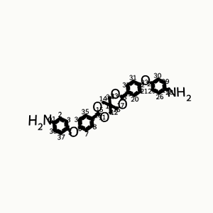 Nc1ccc(Oc2ccc(C3OCC4(CO3)COC(c3ccc(Oc5ccc(N)cc5)cc3)OC4)cc2)cc1